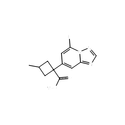 COC(=O)C1(c2cc(Br)n3ncnc3c2)CC(C)C1